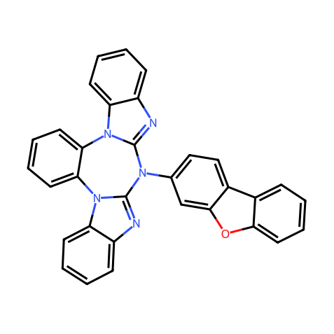 c1ccc2c(c1)nc1n(-c3ccc4c(c3)oc3ccccc34)c3nc4ccccc4n3c3ccccc3n21